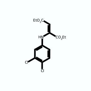 CCOC(=O)/C=C(\Nc1ccc(Cl)c(Cl)c1)C(=O)OCC